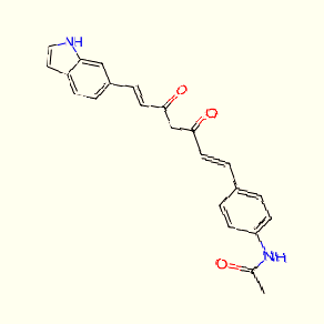 CC(=O)Nc1ccc(C=CC(=O)CC(=O)C=Cc2ccc3cc[nH]c3c2)cc1